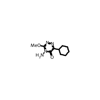 COc1nnc(C2CCCCC2)c(=O)n1N